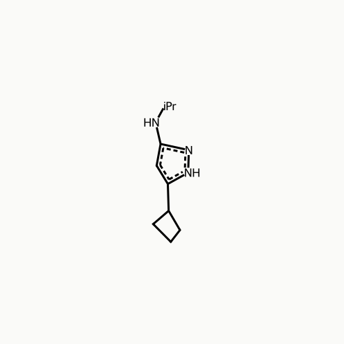 CC(C)Nc1cc(C2CCC2)[nH]n1